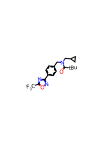 CC(C)(C)C(=O)N(Cc1ccc(-c2noc(C(F)(F)F)n2)cc1)CC1CC1